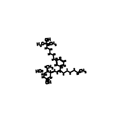 C=C1C(=CC=C(CCCCCC)c2cccc(CCCCCC(C)(C)O)c2)C[C@@H](O)C[C@@H]1O